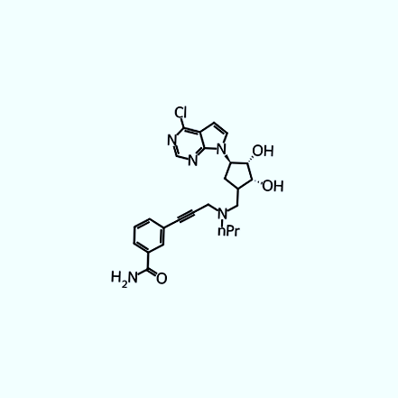 CCCN(CC#Cc1cccc(C(N)=O)c1)CC1C[C@@H](n2ccc3c(Cl)ncnc32)[C@H](O)[C@@H]1O